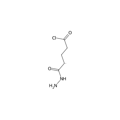 NNC(=O)[CH]CCC(=O)Cl